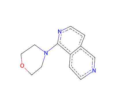 c1cc2c(N3CCOCC3)nccc2cn1